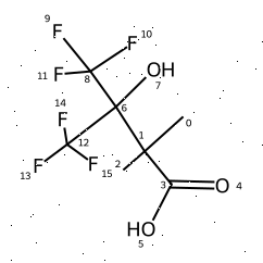 CC(C)(C(=O)O)C(O)(C(F)(F)F)C(F)(F)F